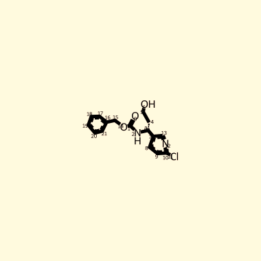 O=C(N[C@H](CCO)c1ccc(Cl)nc1)OCc1ccccc1